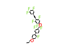 C=CCOc1ccc(-c2ccc(C(F)(F)Oc3cc(F)c(C#Cc4cc(F)c(F)c(F)c4)c(F)c3)c(F)c2)c(F)c1